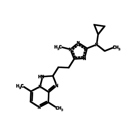 CCN(c1nc(CCC2N=C3C(C)=NC=C(C)N3N2)n(C)n1)C1CC1